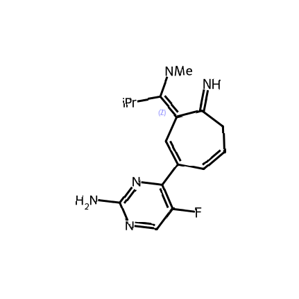 CN/C(=C1/C=C(c2nc(N)ncc2F)C=CCC1=N)C(C)C